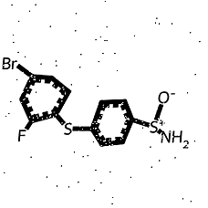 N[S+]([O-])c1ccc(Sc2ccc(Br)cc2F)cc1